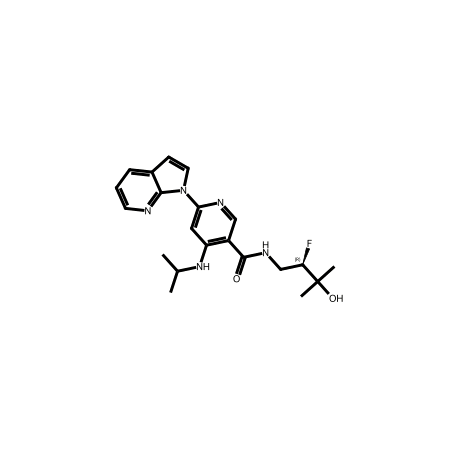 CC(C)Nc1cc(-n2ccc3cccnc32)ncc1C(=O)NC[C@@H](F)C(C)(C)O